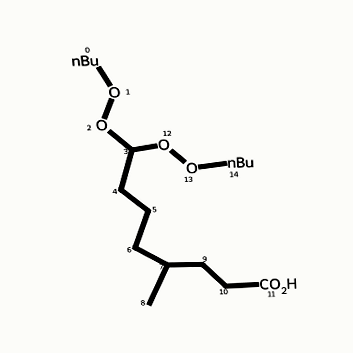 CCCCOOC(CCCC(C)CCC(=O)O)OOCCCC